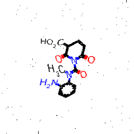 CN(C(=O)N1C(=O)CCC(C(=O)O)C1=O)c1ccccc1N